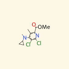 COC(=O)c1nc(Cl)c(Cl)c(N(C)C2CC2)c1C